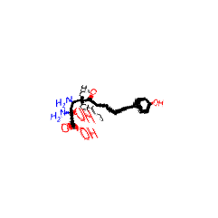 CC(C)(C(=O)CCCc1ccc(O)cc1)[C@@H](N)[C@](N)(O)C(=O)O